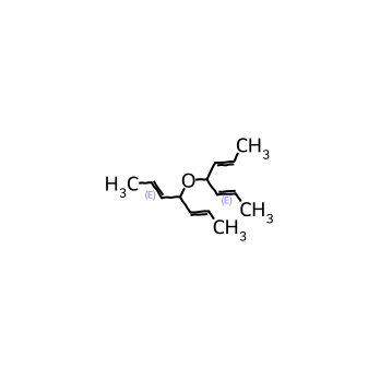 CC=CC(/C=C/C)OC(C=CC)/C=C/C